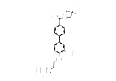 NCCOc1ccc(-c2ccc(C(=O)N3CC(F)(F)C3)cc2)cc1C(F)(F)F